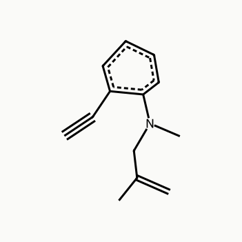 C#Cc1ccccc1N(C)CC(=C)C